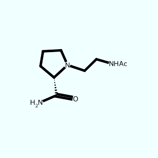 CC(=O)NCCN1CCC[C@H]1C(N)=O